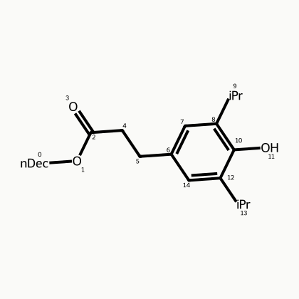 CCCCCCCCCCOC(=O)CCc1cc(C(C)C)c(O)c(C(C)C)c1